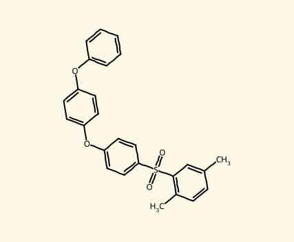 Cc1ccc(C)c(S(=O)(=O)c2ccc(Oc3ccc(Oc4ccccc4)cc3)cc2)c1